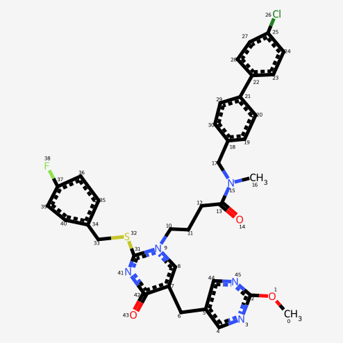 COc1ncc(Cc2cn(CCCC(=O)N(C)Cc3ccc(-c4ccc(Cl)cc4)cc3)c(SCc3ccc(F)cc3)nc2=O)cn1